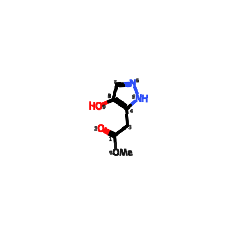 COC(=O)Cc1[nH]ncc1O